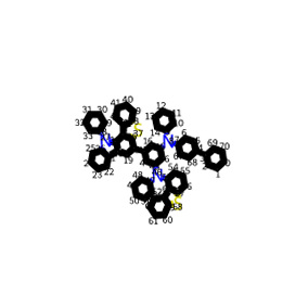 c1ccc(-c2ccc(N(c3ccccc3)c3cc(-c4cc5c6ccccc6n(-c6ccccc6)c5c5c4sc4ccccc45)cc(N(c4ccccc4)c4cccc5sc6ccccc6c45)c3)cc2)cc1